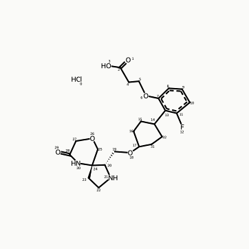 Cl.O=C(O)CCOc1cccc(F)c1C1CCC(OC[C@@H]2NCC[C@@]23COCC(=O)N3)CC1